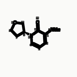 CNc1cccn([C@@H]2CCOC2)c1=O